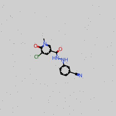 Cn1cc(C(=O)NNc2cccc(C#N)c2)cc(Cl)c1=O